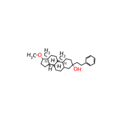 COC1CC[C@H]2[C@@H]3CCC4CC(O)(CCc5ccccc5)CC[C@]4(C)[C@@H]3CC[C@]12C